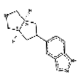 c1cc2[nH]ncc2cc1C1C[C@H]2CNC[C@H]2C1